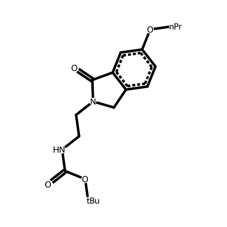 CCCOc1ccc2c(c1)C(=O)N(CCNC(=O)OC(C)(C)C)C2